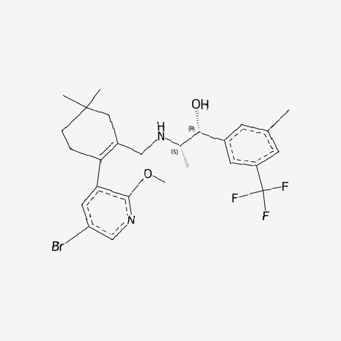 COc1ncc(Br)cc1C1=C(CN[C@@H](C)[C@H](O)c2cc(C)cc(C(F)(F)F)c2)CC(C)(C)CC1